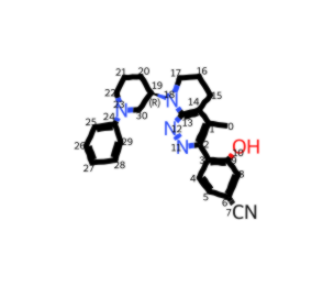 Cc1c(-c2ccc(C#N)cc2O)nnc2c1CCCN2[C@@H]1CCCN(c2ccccc2)C1